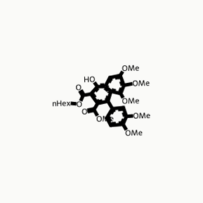 CCCCCCOC(=O)c1c(C(=O)OC)c(-c2ccc(OC)c(OC)c2)c2c(OC)c(OC)c(OC)cc2c1O